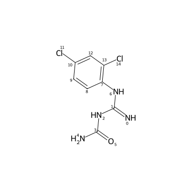 N=C(NC(N)=O)Nc1ccc(Cl)cc1Cl